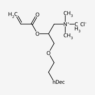 C=CC(=O)OC(COCCCCCCCCCCCC)C[N+](C)(C)C.[Cl-]